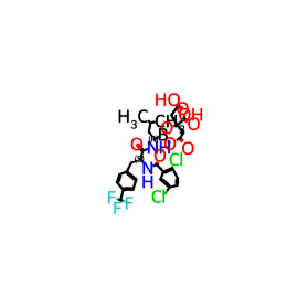 CC(C)C[C@H](NC(=O)[C@H](Cc1ccc(C(F)(F)F)cc1)NC(=O)c1cc(Cl)ccc1Cl)B1OC(=O)CC(CC(=O)O)(C(=O)O)O1